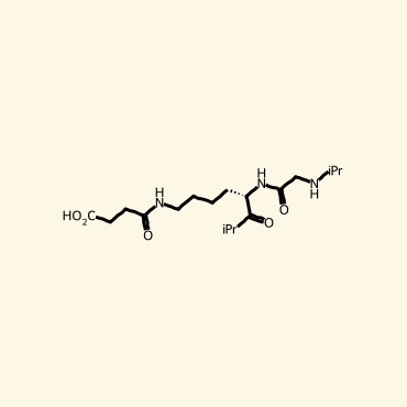 CC(C)NCC(=O)N[C@@H](CCCCNC(=O)CCC(=O)O)C(=O)C(C)C